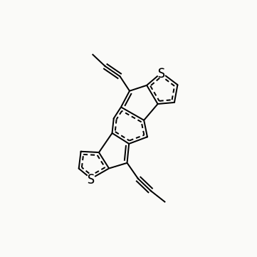 CC#CC1=c2cc3c(cc2-c2ccsc21)=C(C#CC)c1sccc1-3